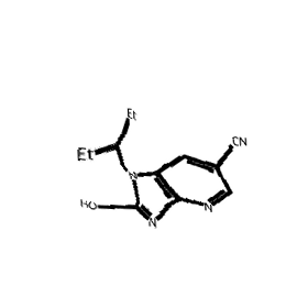 CCC(CC)n1c(O)nc2ncc(C#N)cc21